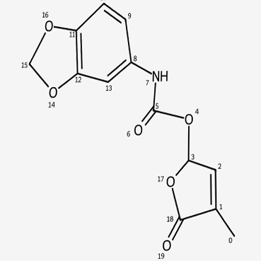 CC1=CC(OC(=O)Nc2ccc3c(c2)OCO3)OC1=O